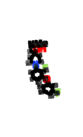 CNCC1(O)CCN(c2cccc(Oc3cccc(F)c3)c2F)CC1